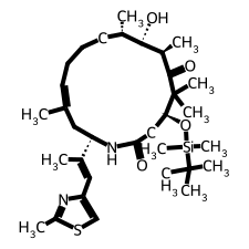 C/C1=C/CCC[C@H](C)[C@H](O)[C@@H](C)C(=O)C(C)(C)[C@@H](O[Si](C)(C)C(C)(C)C)CC(=O)N[C@H](/C(C)=C/c2csc(C)n2)C1